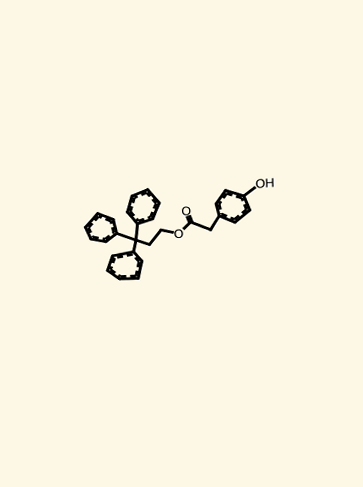 O=C(Cc1ccc(O)cc1)OCCC(c1ccccc1)(c1ccccc1)c1ccccc1